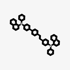 C(=Cc1ccc(N(c2ccccc2)c2cccc3ccccc23)cc1)c1ccc(-c2ccc(N(c3ccccc3)c3cccc4ccccc34)cc2)cc1